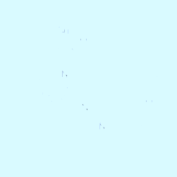 CC(C)(C)OC(=O)CN(C(=O)CNC(=O)Nc1cccc(C(=O)OCc2ccccc2)c1)c1ccccc1C(=O)c1ccccc1